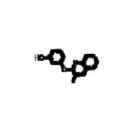 Cc1cc2ccccc2nc1Oc1cccc(O)c1